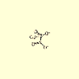 O=S([O-])S(=O)[O-].[Cd+2]